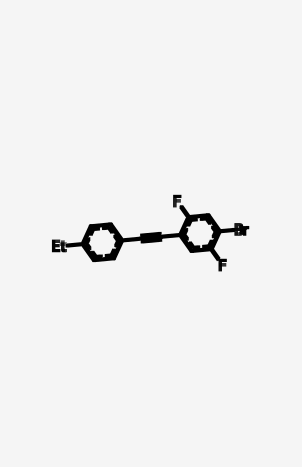 CCc1ccc(C#Cc2cc(F)c(Br)cc2F)cc1